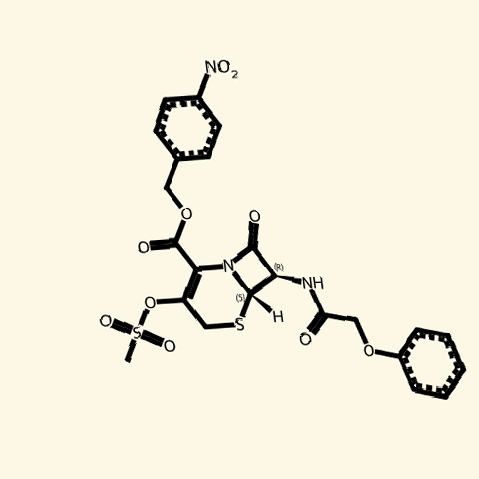 CS(=O)(=O)OC1=C(C(=O)OCc2ccc([N+](=O)[O-])cc2)N2C(=O)[C@@H](NC(=O)COc3ccccc3)[C@@H]2SC1